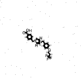 O=C(O)c1ccc(CN2C[C@@H]3C[C@H]2CN3Cc2ccc(OCCC(F)(F)F)cc2)cc1